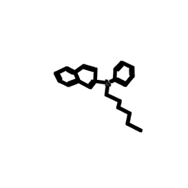 CCCCCCN(c1ccccc1)c1ccc2ccccc2c1